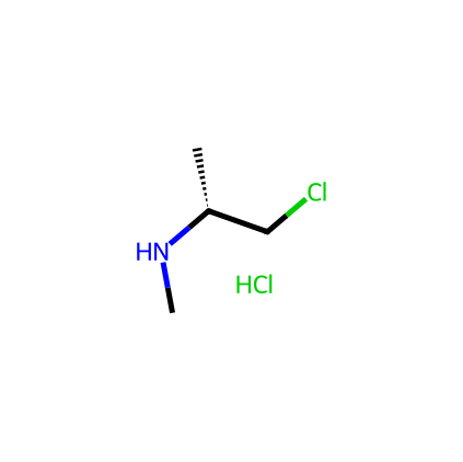 CN[C@H](C)CCl.Cl